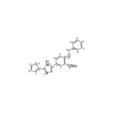 COc1cc(-c2cnc(-c3cccs3)[nH]2)ccc1OCc1ccccc1